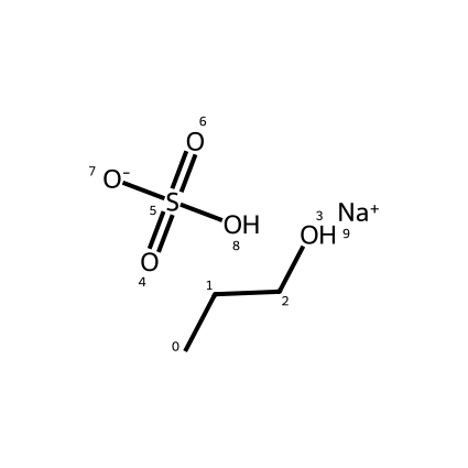 CCCO.O=S(=O)([O-])O.[Na+]